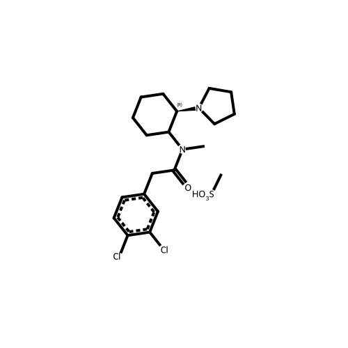 CN(C(=O)Cc1ccc(Cl)c(Cl)c1)C1CCCC[C@H]1N1CCCC1.CS(=O)(=O)O